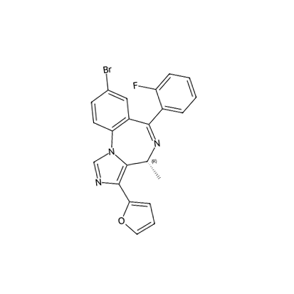 C[C@H]1N=C(c2ccccc2F)c2cc(Br)ccc2-n2cnc(-c3ccco3)c21